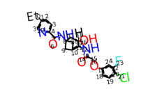 CCc1ccc(C(=O)NC23CC(=C(NC(=O)COc4ccc(Cl)c(F)c4)[C@@H](O)C2)C3)nc1